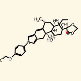 CCOc1ccc(-n2cc3c(c2)C[C@@]2(C)C(=C3)[C@@H](C)C[C@@H]3[C@@H]2[C@@H](O)C[C@@]2(C)[C@H]3CC[C@@]23OCOC32COCO2)cc1